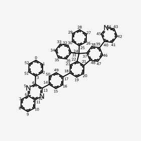 c1ccc(-c2nc3ccccc3nc2-c2ccc(-c3ccc4c(c3)C(c3ccccc3)(c3ccccc3)c3cc(-c5cccnc5)ccc3-4)cc2)cc1